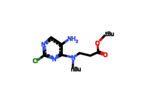 CCCCN(CCC(=O)OC(C)(C)C)c1nc(Cl)ncc1N